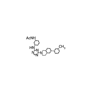 CC(=O)Nc1cccc(Nc2ncnc(N3CCc4cc(-c5cccc(C)c5)ccc4C3)n2)c1